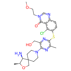 COCCn1cnc2ccc(Sc3nc(CO)c(N4CCC5(CC4)CO[C@@H](C)[C@H]5N)nc3C)c(Cl)c2c1=O